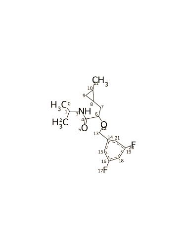 CC(C)NC(=O)C(CC1CC1C)OCc1cc(F)cc(F)c1